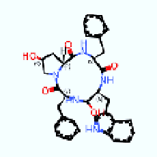 O=C1N[C@@H](Cc2c[nH]c3ccccc23)C(O)N[C@@H](Cc2ccccc2)C(=O)N2C[C@@H](O)C[C@@H]2C(=O)N[C@H]1Cc1ccccc1